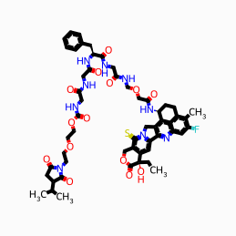 CC[C@@]1(O)C(=O)OCc2c1cc1n(c2=S)Cc2c-1nc1cc(F)c(C)c3c1c2[C@H](NC(=O)COCNC(=O)CNC(=O)[C@H](Cc1ccccc1)NC(=O)CNC(=O)CNC(=O)OCCOCCN1C(=O)CC(C(C)C)C1=O)CC3